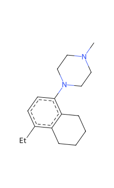 CCc1ccc(N2CCN(C)CC2)c2c1CCCC2